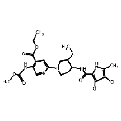 CCOC(=O)c1cc(N2CCC(NC(=O)c3[nH]c(C)c(Cl)c3Cl)C(OC)C2)ncc1NC(=O)OC